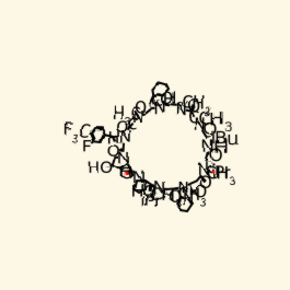 CC[C@H](C)[C@@H]1NC(=O)[C@H](CC(C)C)N(C)C(=O)C[C@@H](C(=O)N2CCCCC2)N(C)C(=O)[C@H](CC(C)C)N(C)C(=O)C2(CCCC2)NC(=O)[C@@H]2C[C@H](O)CN2C(=O)[C@H](CCc2ccc(C(F)(F)F)c(F)c2)NC(=O)CN(C)C(=O)[C@H](CC2CCCCC2)N(C)C(=O)CN(C)C(=O)CN(C)C1=O